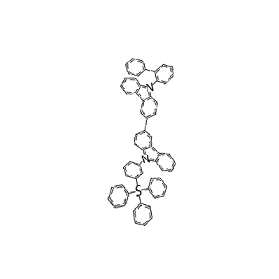 c1ccc(-c2ccccc2-n2c3ccccc3c3cc(-c4ccc5c(c4)c4ccccc4n5-c4cccc(S(c5ccccc5)(c5ccccc5)c5ccccc5)c4)ccc32)cc1